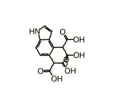 O=C(O)C(C(=O)O)c1ccc2[nH]ccc2c1C(C(=O)O)C(=O)O